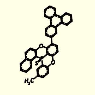 Cc1ccc2c(c1)P1(=S)c3c(ccc(-c4ccc5c6ccccc6c6ccccc6c5c4)c3Oc3ccc4ccccc4c31)O2